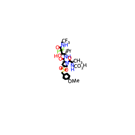 COc1ccc(CS(=O)(=O)[C@@H]2C[C@@H](C(=O)N[C@@H](C(C)C)[C@@H](O)C(F)(F)C(=O)NCC(F)(F)F)N(C(=O)[C@H](C)NC(=O)O)C2)cc1